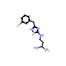 CC(N)CCNc1nc(Cc2cccc(F)c2)ns1